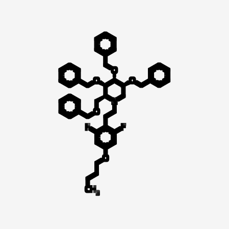 CCCCOc1cc(F)c(CCN2C[C@H](OCc3ccccc3)[C@@H](OCc3ccccc3)[C@H](OCc3ccccc3)[C@@H]2COCc2ccccc2)c(F)c1